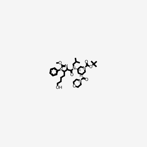 COC1=NC(C(=O)N(CC(C)C)[C@H]2C[C@@H](C(=O)N3CCOCC3)CN(C(=O)OC(C)(C)C)C2)C(CCCCO)N1c1ccccc1